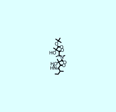 CCC(C)[C@H](NC)C(=O)C(C)(O)C(=O)N(C)[C@@H](C)C(=O)C(C)(O)C(=O)OC(C)(C)C